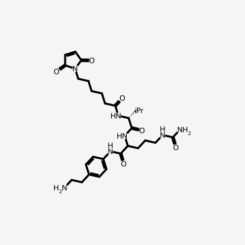 CC(C)[C@@H](NC(=O)CCCCCN1C(=O)C=CC1=O)C(=O)NC(CCCNC(N)=O)C(=O)Nc1ccc(CCN)cc1